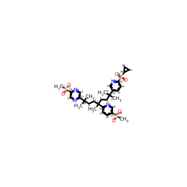 CC(C)(CCC(C)(CCC(C)(C)c1cnc(S(C)(=O)=O)cn1)c1ccc(S(C)(=O)=O)cn1)c1ccc(S(=O)(=O)C2CC2)nc1